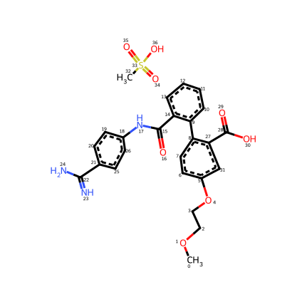 COCCOc1ccc(-c2ccccc2C(=O)Nc2ccc(C(=N)N)cc2)c(C(=O)O)c1.CS(=O)(=O)O